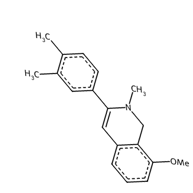 COc1cccc2c1CN(C)C(c1ccc(C)c(C)c1)=C2